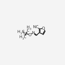 C[Si](C)(C)ON=Cc1ccoc1C#N